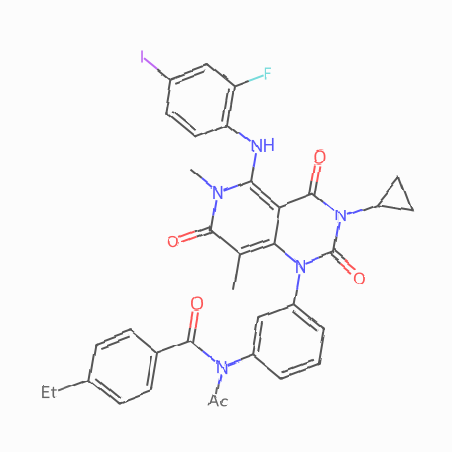 CCc1ccc(C(=O)N(C(C)=O)c2cccc(-n3c(=O)n(C4CC4)c(=O)c4c(Nc5ccc(I)cc5F)n(C)c(=O)c(C)c43)c2)cc1